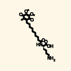 COC1=C(OC)C(=O)C(CCCCCCCCCC(=O)N[C@@H](CCCCN)C(=O)O)=C(C)C1=O